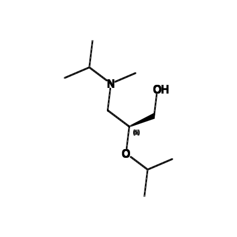 CC(C)O[C@H](CO)CN(C)C(C)C